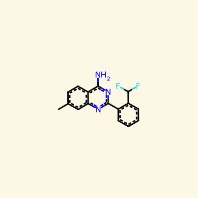 Cc1ccc2c(N)nc(-c3ccccc3C(F)F)nc2c1